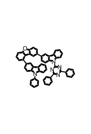 c1ccc(-c2nc(-c3ccccc3)nc(-n3c4ccccc4c4cc(-c5ccc6oc7cccc(-c8ccc9c(c8)c8ccccc8n9-c8ccccc8)c7c6c5)ccc43)n2)cc1